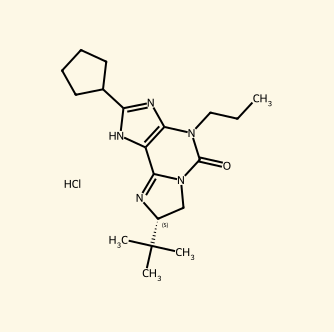 CCCN1C(=O)N2C[C@H](C(C)(C)C)N=C2c2[nH]c(C3CCCC3)nc21.Cl